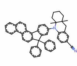 CC12CCCCC1(C)N(c1ccc3c(c1)C(c1ccccc1)(c1ccccc1)c1ccc4c(ccc5ccccc54)c1-3)c1ccc(C#N)cc1C2